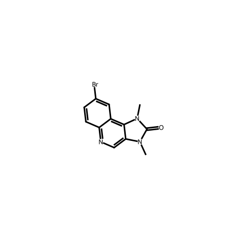 Cn1c(=O)n(C)c2c3cc(Br)ccc3ncc21